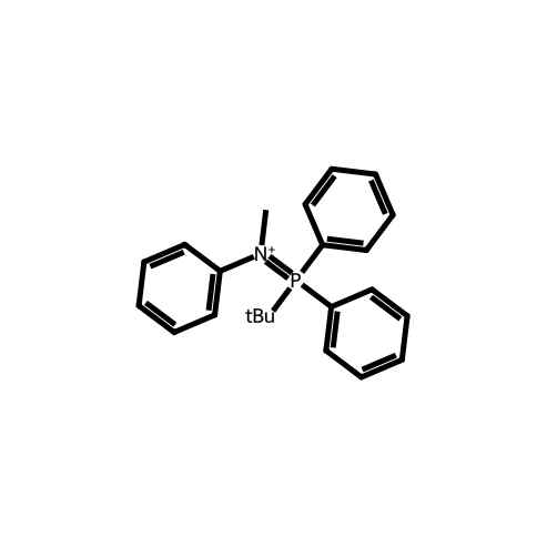 C[N+](c1ccccc1)=P(c1ccccc1)(c1ccccc1)C(C)(C)C